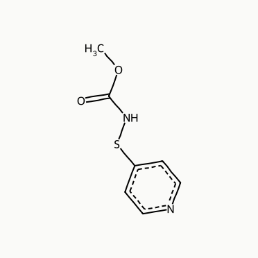 COC(=O)NSc1ccncc1